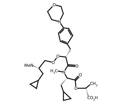 CN[C@H](COO[C@H](Cc1ccc(N2CCOCC2)cc1)C(=O)N(C)[C@@H](CC1CC1)C(=O)O[C@H](C)C(=O)O)CC1CC1